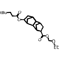 CCOCOC(=O)C1CC2CC1C1C3CC(CC3OC(=O)CCC(C)(C)C)C21